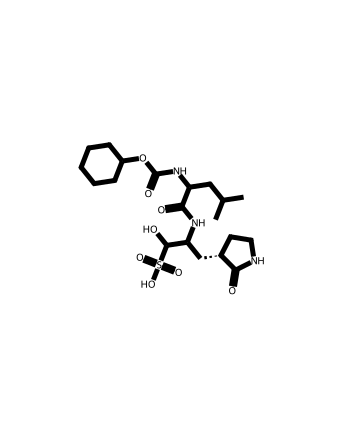 CC(C)CC(NC(=O)OC1CCCCC1)C(=O)NC(C[C@@H]1CCNC1=O)C(O)S(=O)(=O)O